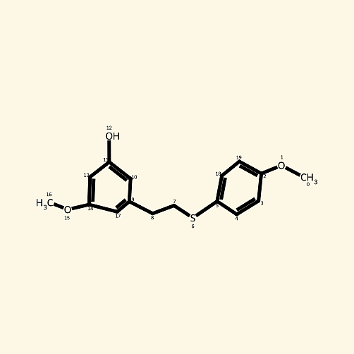 COc1ccc(SCCc2cc(O)cc(OC)c2)cc1